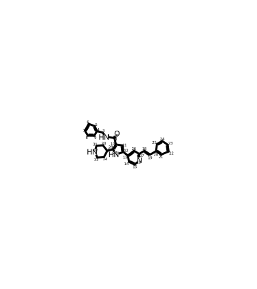 O=C(NCc1ccccc1)c1cc(-c2ccnc(/C=C/c3ccccc3)c2)[nH]c1C1CCNCC1